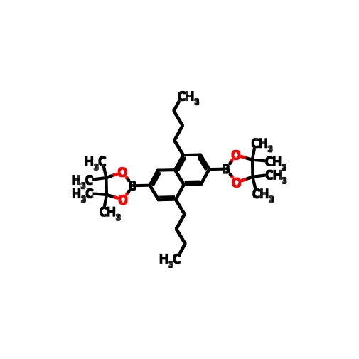 CCCCc1cc(B2OC(C)(C)C(C)(C)O2)cc2c(CCCC)cc(B3OC(C)(C)C(C)(C)O3)cc12